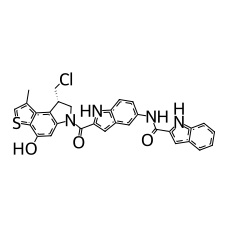 Cc1csc2c(O)cc3c(c12)[C@H](CCl)CN3C(=O)c1cc2cc(NC(=O)c3cc4ccccc4[nH]3)ccc2[nH]1